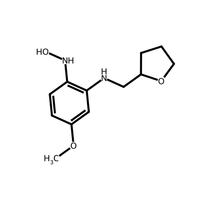 COc1ccc(NO)c(NCC2CCCO2)c1